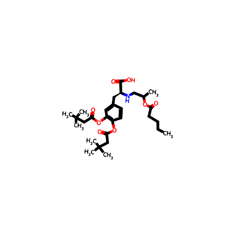 CCCCC(=O)OC(C)CN[C@@H](Cc1ccc(OC(=O)CC(C)(C)C)c(OC(=O)CC(C)(C)C)c1)C(=O)O